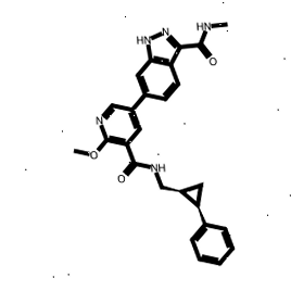 CNC(=O)c1n[nH]c2cc(-c3cnc(OC)c(C(=O)NC[C@H]4C[C@H]4c4ccccc4)c3)ccc12